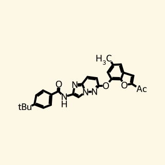 CC(=O)c1cc2cc(C)cc(Oc3ccc4nc(NC(=O)c5ccc(C(C)(C)C)cc5)cn4n3)c2o1